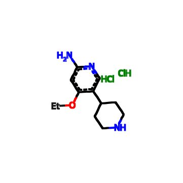 CCOc1cc(N)ncc1C1CCNCC1.Cl.Cl